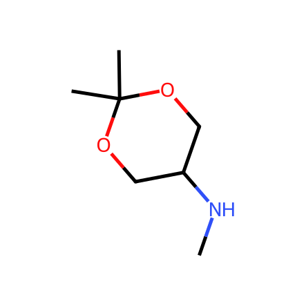 CNC1COC(C)(C)OC1